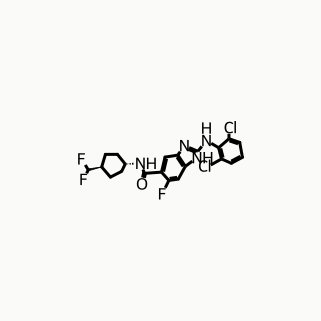 O=C(N[C@H]1CC[C@H](C(F)F)CC1)c1cc2nc(Nc3c(Cl)cccc3Cl)[nH]c2cc1F